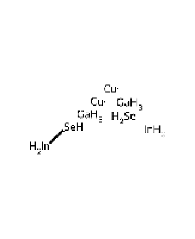 [Cu].[Cu].[GaH3].[GaH3].[InH3].[SeH2].[SeH][InH2]